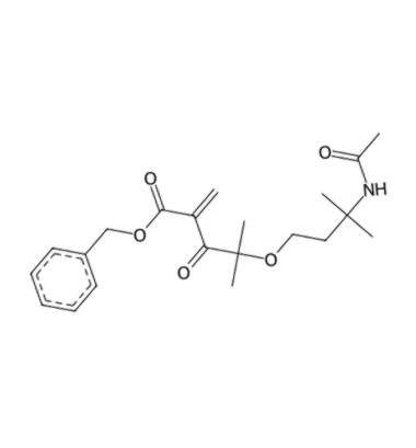 C=C(C(=O)OCc1ccccc1)C(=O)C(C)(C)OCCC(C)(C)NC(C)=O